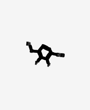 CCOc1ccc(C=O)c(F)c1F